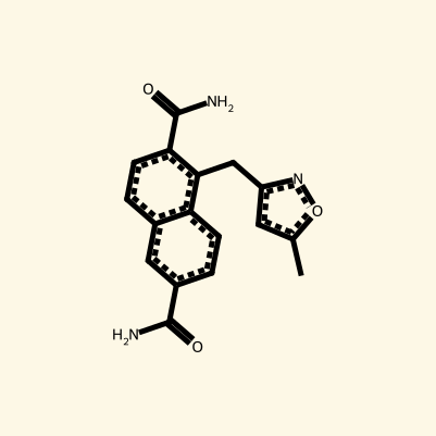 Cc1cc(Cc2c(C(N)=O)ccc3cc(C(N)=O)ccc23)no1